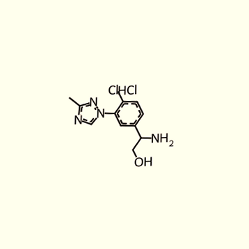 Cc1ncn(-c2cc(C(N)CO)ccc2Cl)n1.Cl